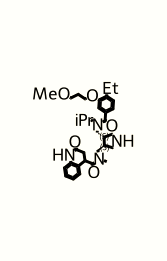 CCc1ccc(C(=O)N(C[C@@H]2CNC[C@H]2CN(C)C(=O)C2CC(=O)Nc3ccccc32)C(C)C)cc1OCCCOC